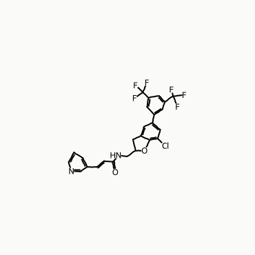 O=C(C=Cc1cccnc1)NCC1Cc2cc(-c3cc(C(F)(F)F)cc(C(F)(F)F)c3)cc(Cl)c2O1